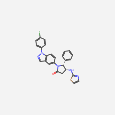 O=C1C[C@H](Nc2nccs2)[C@@H](c2ccccc2)N1c1ccc2c(cnn2-c2ccc(F)cc2)c1